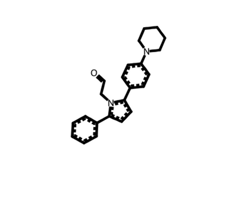 O=CCn1c(-c2ccccc2)ccc1-c1ccc(N2CCCCC2)cc1